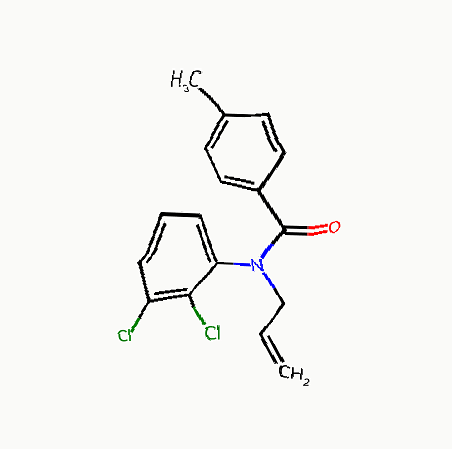 C=CCN(C(=O)c1ccc(C)cc1)c1cccc(Cl)c1Cl